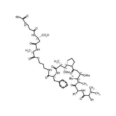 CC[C@H](C)[C@@H]([C@@H](CC(=O)N1CCC[C@H]1[C@H](OC)[C@@H](C)C(=O)N[C@@H](Cc1ccccc1)C(=O)NCCCOC(=O)[C@H](C)NC(=O)C[C@H](NC(=O)CCNC(=O)C(C)(C)C)C(=O)O)OC)N(C)C(=O)C(NC(=O)C(C(C)C)N(C)C)C(C)C